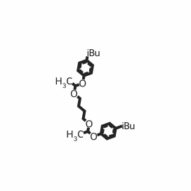 CCC(C)c1ccc(OC(C)OCCCCOC(C)Oc2ccc(C(C)CC)cc2)cc1